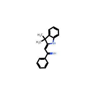 CC1(C)C(=CC(=N)c2ccccc2)Nc2ccccc21